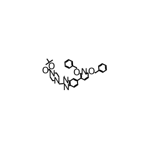 Cn1c(CN2CCN(C(=O)OC(C)(C)C)CC2)nc2ccc(-c3ccc(OCc4ccccc4)nc3OCc3ccccc3)cc21